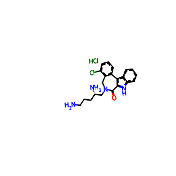 Cl.NCCC[C@H](N)CN1Cc2c(Cl)cccc2-c2c([nH]c3ccccc23)C1=O